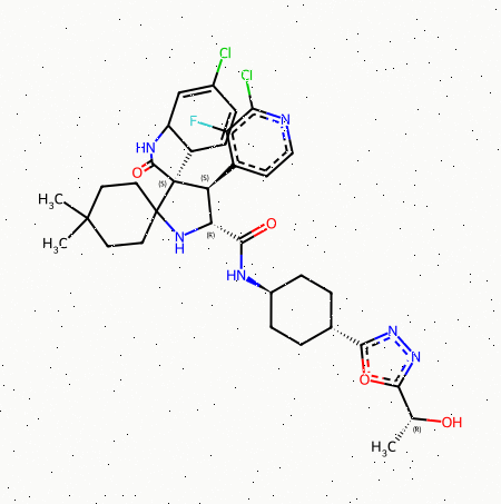 C[C@@H](O)c1nnc([C@H]2CC[C@H](NC(=O)[C@@H]3NC4(CCC(C)(C)CC4)[C@@]4(C(=O)NC5C=C(Cl)C=CC54)[C@H]3c3ccnc(Cl)c3F)CC2)o1